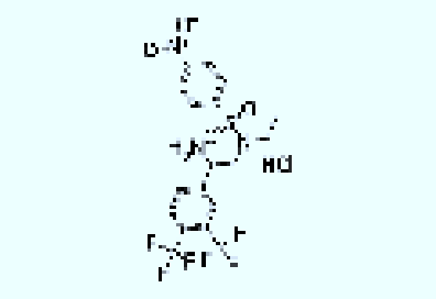 CCN(CC(N)c1ccc(C(F)(F)F)c(C(F)(F)F)c1)S(=O)(=O)c1ccc([N+](=O)[O-])cc1.Cl